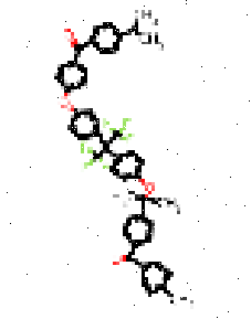 Cc1ccc(C(=O)c2ccc(C(C)(C)Oc3ccc(C(c4ccc(Oc5ccc(C(=O)c6ccc(C(C)C)cc6)cc5)cc4)(C(F)(F)F)C(F)(F)F)cc3)cc2)cc1